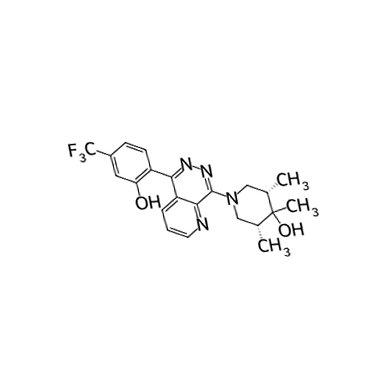 C[C@@H]1CN(c2nnc(-c3ccc(C(F)(F)F)cc3O)c3cccnc23)C[C@H](C)C1(C)O